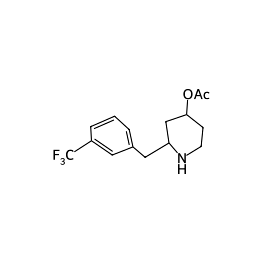 CC(=O)OC1CCNC(Cc2cccc(C(F)(F)F)c2)C1